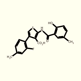 Cc1ccc(-c2csc(NC(=O)c3cc(C)ccc3O)c2C(=O)O)c(F)c1